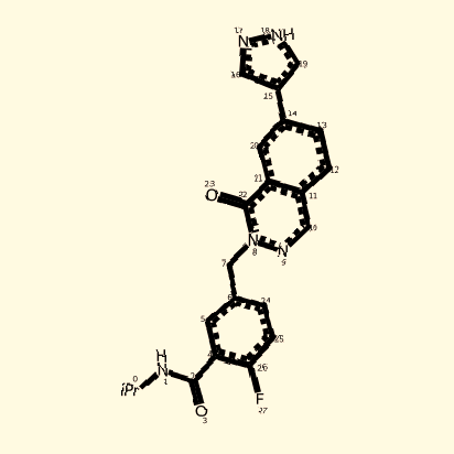 CC(C)NC(=O)c1cc(Cn2ncc3ccc(-c4cn[nH]c4)cc3c2=O)ccc1F